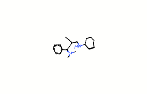 CC(CNC1CCCCC1)C(c1ccccc1)N(C)C